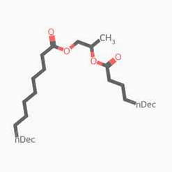 CCCCCCCCCCCCCCCCCC(=O)OCC(C)OC(=O)CCCCCCCCCCCCC